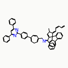 C=C/C=C\C=C1/C(C)C=C(/C(=N\CC2=CCC=C(c3ccc(-c4nc(-c5ccccc5)cc(-c5ccccc5)n4)cc3)C=C2)c2ccccc2)C12c1ccccc1-c1ccccc12